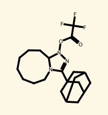 O=C(ON1N=C(C23CC4CC(CC(C4)C2)C3)N2CCCCCCCC12)C(F)(F)F